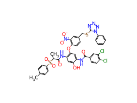 Cc1ccc(S(=O)(=O)C(C)C(=O)Nc2cc(O)c(NC(=O)c3ccc(Cl)c(Cl)c3)cc2Oc2ccc(CSc3nnnn3-c3ccccc3)cc2[N+](=O)[O-])cc1